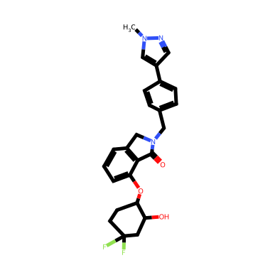 Cn1cc(-c2ccc(CN3Cc4cccc(OC5CCC(F)(F)CC5O)c4C3=O)cc2)cn1